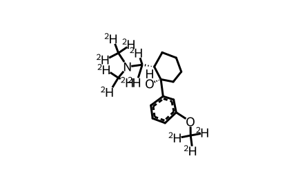 [2H]C([2H])([2H])Oc1cccc([C@]2(O)CCCC[C@H]2C([2H])([2H])N(C([2H])([2H])[2H])C([2H])([2H])[2H])c1